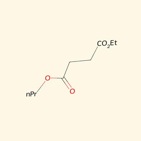 CCCOC(=O)CCC(=O)OCC